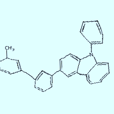 CC1C=C(c2cccc(-c3ccc4c(c3)c3ccccc3n4-c3ccccc3)c2)C=CC1